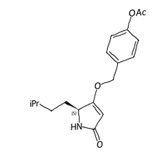 CC(=O)Oc1ccc(COC2=CC(=O)N[C@H]2CCC(C)C)cc1